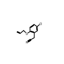 C=CCOc1ccc(Cl)cc1CC#N